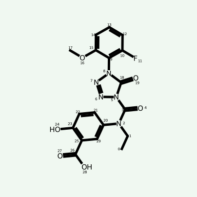 CCN(C(=O)n1nnn(-c2c(F)cccc2OC)c1=O)c1ccc(O)c(C(=O)O)c1